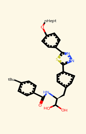 CCCCCCCOc1ccc(-c2nnc(-c3ccc(C[C@H](NC(=O)c4ccc(C(C)(C)C)cc4)C(O)O)cc3)s2)cc1